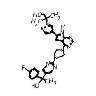 CC(O)(c1ccc(F)cc1)c1cnc(N2CCN(c3ncnc4[nH]c(-c5cnn(C(C)(C)CO)c5)cc34)CC2)nc1